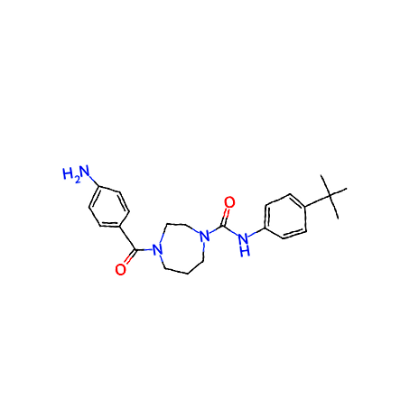 CC(C)(C)c1ccc(NC(=O)N2CCCN(C(=O)c3ccc(N)cc3)CC2)cc1